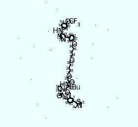 Cc1ncsc1-c1ccc(CNC(=O)[C@@H]2CCCN2C(=O)[C@@H](NC(=O)COCCCCCOCCCCCOc2cccc(-c3cc(Nc4ccc(OC(F)(F)F)cc4)ncn3)c2)C(C)(C)C)cc1